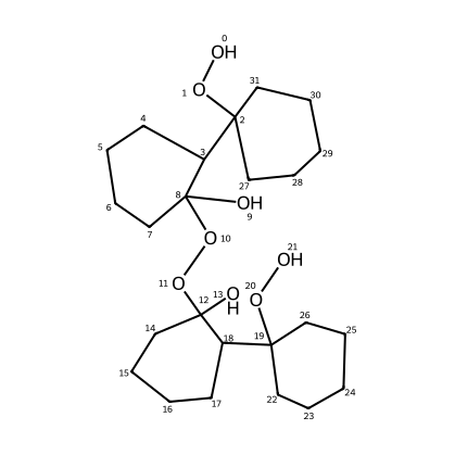 OOC1(C2CCCCC2(O)OOC2(O)CCCCC2C2(OO)CCCCC2)CCCCC1